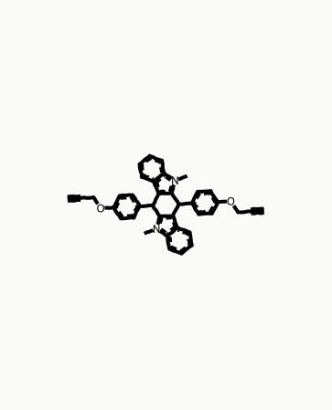 C#CCOc1ccc(C2c3c(n(C)c4ccccc34)C(c3ccc(OCC#C)cc3)c3c2n(C)c2ccccc32)cc1